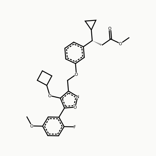 COC(=O)C[C@H](c1cccc(OCc2noc(-c3cc(OC)ccc3F)c2OC2CCC2)c1)C1CC1